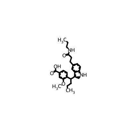 CCCNC(=O)CCc1ccc2[nH]cc(C(CCC)c3ccc(C(=O)O)cc3OC)c2c1